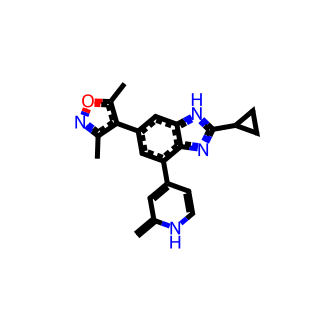 C=C1C=C(c2cc(-c3c(C)noc3C)cc3[nH]c(C4CC4)nc23)C=CN1